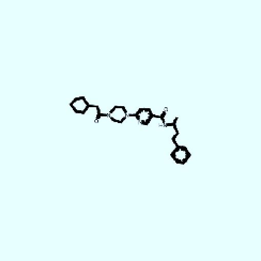 CC(CCc1ccccc1)NC(=O)c1ccc(N2CCN(C(=O)CC3CCCCC3)CC2)nc1